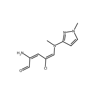 CN(/C=C(Cl)\C=C(\N)C=O)c1ccn(C)n1